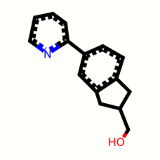 OCC1Cc2ccc(-c3ccccn3)cc2C1